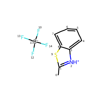 Cc1[nH+]c2ccccc2s1.F[B-](F)(F)F